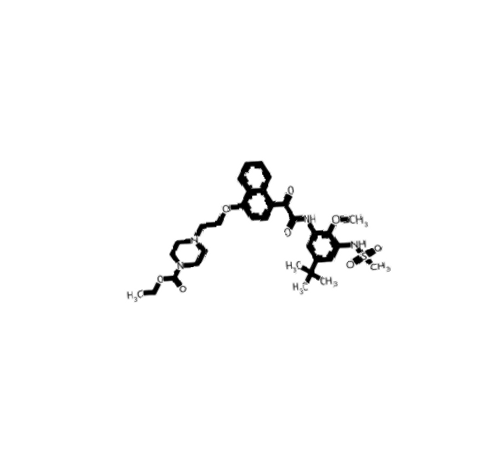 CCOC(=O)N1CCN(CCOc2ccc(C(=O)C(=O)Nc3cc(C(C)(C)C)cc(NS(C)(=O)=O)c3OC)c3ccccc23)CC1